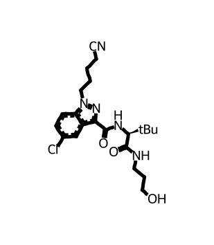 CC(C)(C)[C@H](NC(=O)c1nn(CCCCC#N)c2ccc(Cl)cc12)C(=O)NCCCO